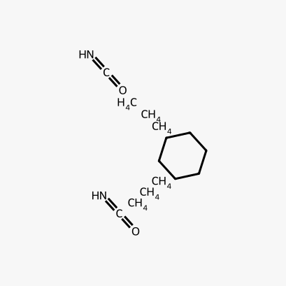 C.C.C.C.C.C.C1CCCCC1.N=C=O.N=C=O